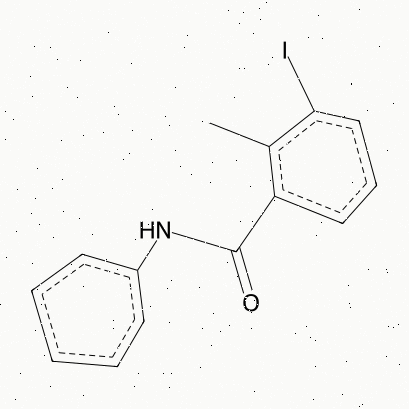 Cc1c(I)cccc1C(=O)Nc1ccccc1